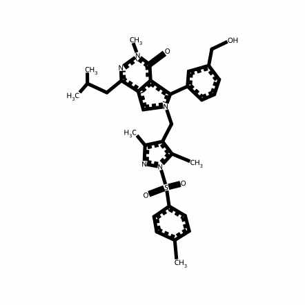 Cc1ccc(S(=O)(=O)n2nc(C)c(Cn3cc4c(CC(C)C)nn(C)c(=O)c4c3-c3cccc(CO)c3)c2C)cc1